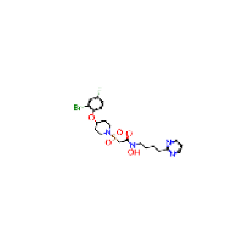 O=C(CS(=O)(=O)N1CCC(Oc2ccc(F)cc2Br)CC1)N(O)CCCCc1ncccn1